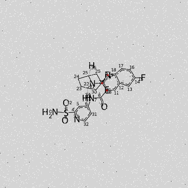 NS(=O)(=O)c1cc(NC(=O)c2cc3cc(F)ccc3nc2N2[C@@H]3CC[C@H]2CC(F)(F)C3)ccn1